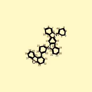 C1=CCCC(n2c3ccccc3c3cc4c(cc32)c2ccccc2n4-c2cccc(-c3cccc4oc5ccccc5c34)c2)=C1